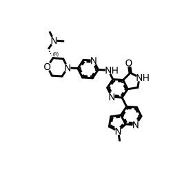 CN(C)C[C@@H]1CN(c2ccc(Nc3cnc(-c4ccnc5c4ccn5C)c4c3C(=O)NC4)nc2)CCO1